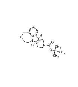 CC(C)(C)OC(=O)N1CC[C@@H]2[C@H](C1)c1cccc3c1N2CCOC3